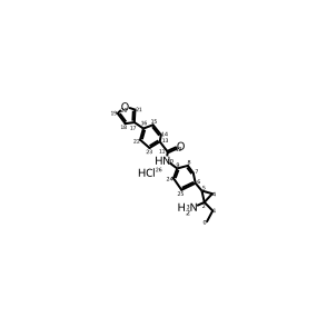 CCC1(N)CC1c1ccc(NC(=O)c2ccc(-c3ccoc3)cc2)cc1.Cl